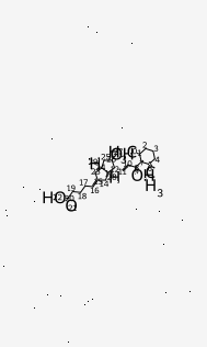 CC1CCCC(C)C1[C@@H](O)/C=C/[C@@H]1[C@H]2C/C(=C/CCCC(=O)O)C[C@@H]2C[C@H]1O